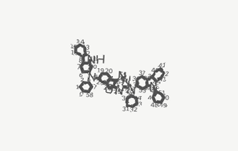 c1ccc(N(c2ccc3c(c2)[nH]c2ccccc23)c2ccc3c(c2)oc2nc(N(c4ccccc4)c4ccc5c6ccccc6n(-c6ccccc6)c5c4)nnc23)cc1